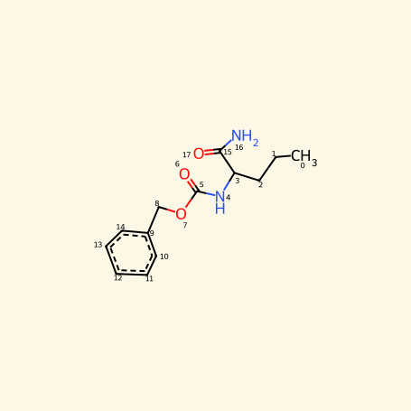 CCCC(NC(=O)OCc1ccccc1)C(N)=O